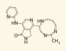 Cc1nccc[nH]c(-c2ncc(Nc3ccccn3)c3c2CNC3=O)cn1